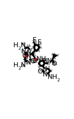 Nc1ccn(-c2ccc(NC(=O)C3C(c4ccc(F)c(CF)c4)C3(n3ccc(N)nc3=O)n3ccc(N)nc3=O)cc2CNC(=O)C2CC2)c(=O)n1